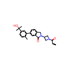 C=CC(=O)N1CC(N2Cc3ccc(-c4cc(C(C)(C)O)ccc4C)cc3C2=O)C1